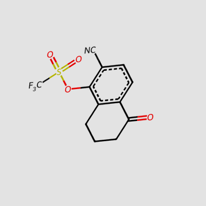 N#Cc1ccc2c(c1OS(=O)(=O)C(F)(F)F)CCCC2=O